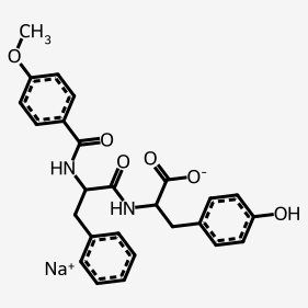 COc1ccc(C(=O)NC(Cc2ccccc2)C(=O)NC(Cc2ccc(O)cc2)C(=O)[O-])cc1.[Na+]